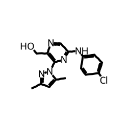 Cc1cc(C)n(-c2nc(Nc3ccc(Cl)cc3)cnc2CO)n1